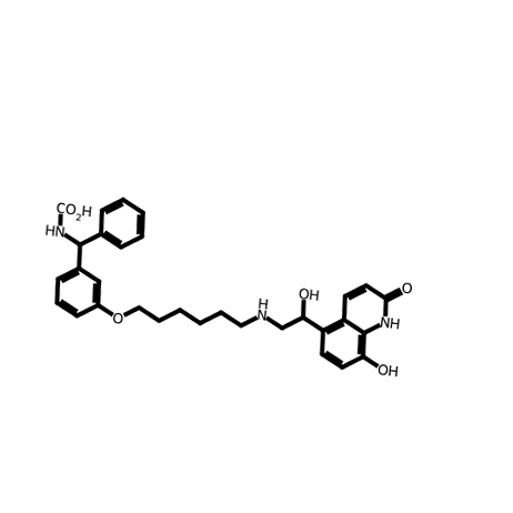 O=C(O)NC(c1ccccc1)c1cccc(OCCCCCCNCC(O)c2ccc(O)c3[nH]c(=O)ccc23)c1